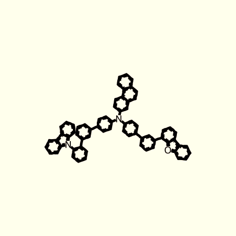 c1cc(-c2ccc(N(c3ccc(-c4cccc(-c5cccc6c5oc5ccccc56)c4)cc3)c3ccc4c(ccc5ccccc54)c3)cc2)cc(-c2ccccc2-n2c3ccccc3c3ccccc32)c1